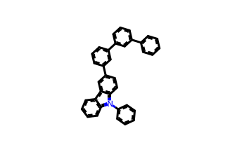 c1ccc(-c2cccc(-c3cccc(-c4ccc5c(c4)c4ccccc4n5-c4ccccc4)c3)c2)cc1